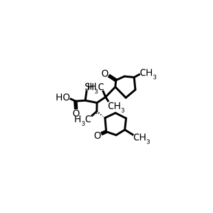 C[C](C(C(S)C(=O)O)C(C)(C)C1CCC(C)CC1=O)[C@@H]1CCC(C)CC1=O